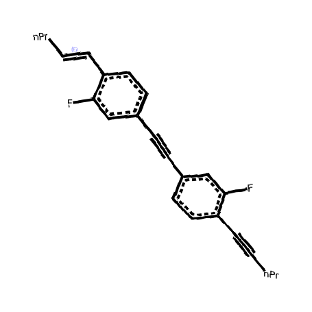 CCCC#Cc1ccc(C#Cc2ccc(/C=C/CCC)c(F)c2)cc1F